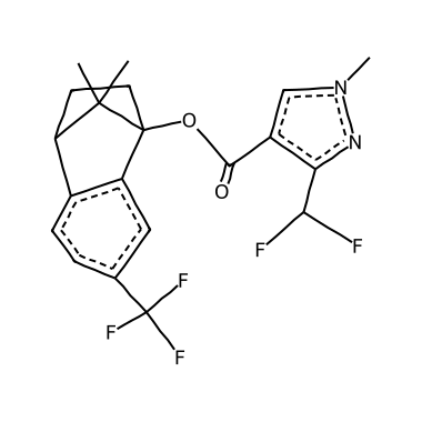 Cn1cc(C(=O)OC23CCC(c4ccc(C(F)(F)F)cc42)C3(C)C)c(C(F)F)n1